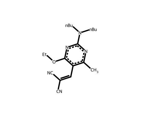 CCCCN(CCCC)c1nc(C)c(C=C(C#N)C#N)c(OCC)n1